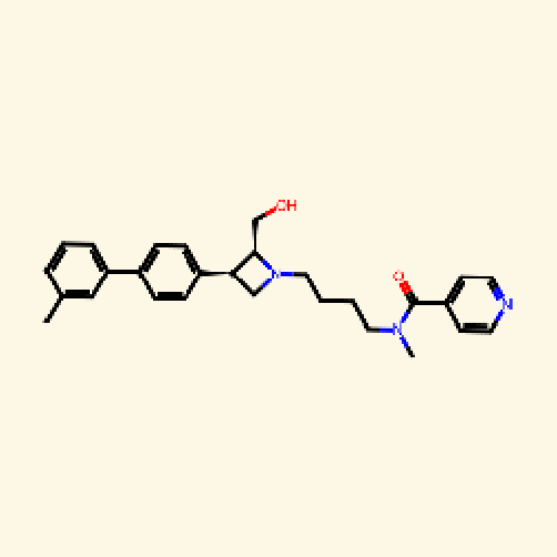 Cc1cccc(-c2ccc([C@@H]3CN(CCCCN(C)C(=O)c4ccncc4)[C@@H]3CO)cc2)c1